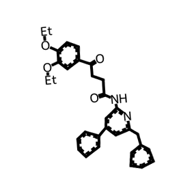 CCOc1ccc(C(=O)CCC(=O)Nc2cc(-c3ccccc3)cc(Cc3ccccc3)n2)cc1OCC